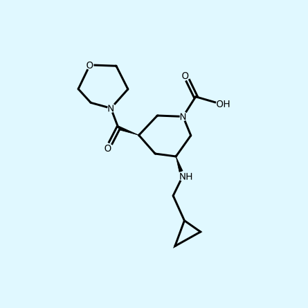 O=C(O)N1C[C@@H](NCC2CC2)C[C@@H](C(=O)N2CCOCC2)C1